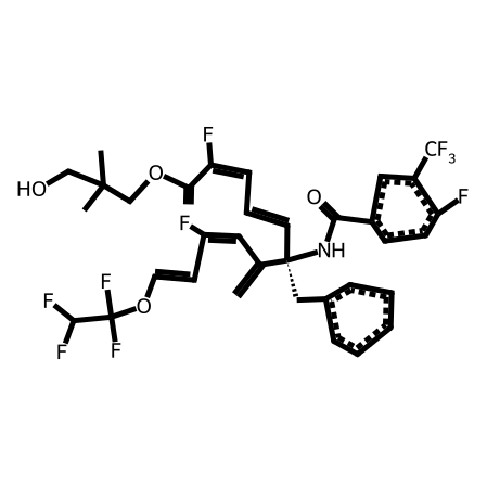 C=C(OCC(C)(C)CO)/C(F)=C\C=C\[C@@](Cc1ccccc1)(NC(=O)c1ccc(F)c(C(F)(F)F)c1)C(=C)/C=C(F)\C=C\OC(F)(F)C(F)F